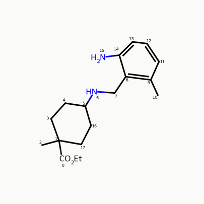 CCOC(=O)C1(C)CCC(NCc2c(C)cccc2N)CC1